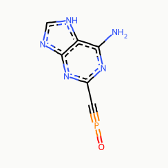 Nc1nc(C#P=O)nc2nc[nH]c12